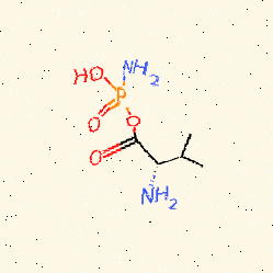 CC(C)[C@H](N)C(=O)OP(N)(=O)O